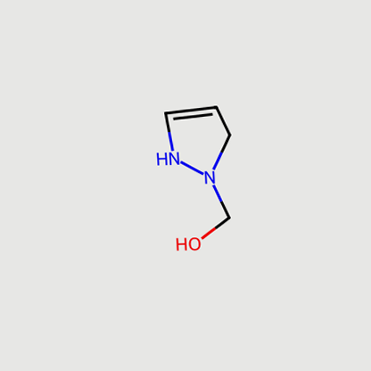 OCN1CC=CN1